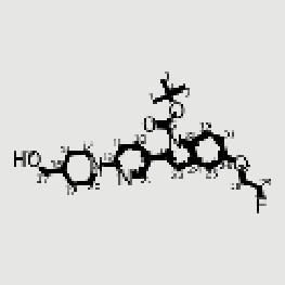 CC(C)(C)OC(=O)n1c(-c2ccc(N3CCC(CO)CC3)nc2)cc2cc(OCCF)ccc21